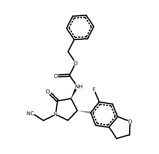 N#CCN1C[C@@H](c2cc3c(cc2F)OCC3)[C@H](NC(=O)OCc2ccccc2)C1=O